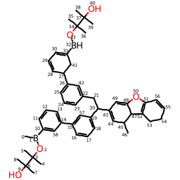 CB(OC(C)(C)C(C)(C)O)c1cccc(-c2cccc(C(Cc3cccc(C4C=CC=C(BOC(C)(C)C(C)(C)O)C4)c3)C3=CC(C)C4C(=C3)OC3=C4CCC=C3)c2)c1